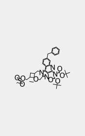 CCOCc1nc2c(N(C(=O)OC(C)(C)C)C(=O)OC(C)(C)C)nc3cc(Cc4ccccc4)ccc3c2n1CC1CC(COS(C)(=O)=O)C1